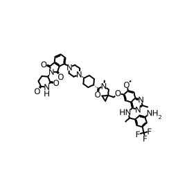 COc1cc2nc(C)nc(NC(C)c3cc(N)cc(C(F)(F)F)c3)c2cc1OCC1(CN(C)C(=O)[C@H]2CC[C@@H](N3CCN(c4cccc5c4C(=O)N(C4CCC(=O)NC4=O)C5=O)CC3)CC2)CC1